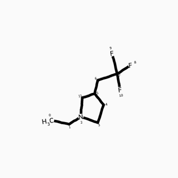 CCN1CCC(CC(F)(F)F)C1